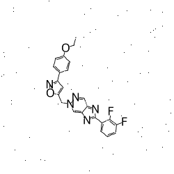 CCOc1ccc(-c2cc(Cn3cc4nc(-c5cccc(F)c5F)nc-4cn3)on2)cc1